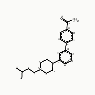 CC(C)CCN1CCC(c2cccc(-c3ccc(C(N)=O)cc3)c2)CC1